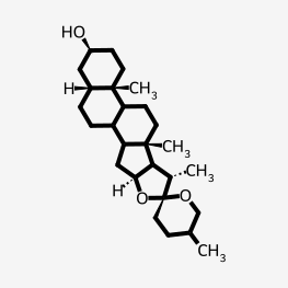 CC1CC[C@@]2(OC1)O[C@H]1CC3C4CC[C@@H]5C[C@@H](O)CC[C@]5(C)C4CC[C@]3(C)C1[C@@H]2C